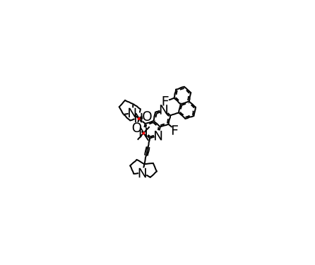 CC(C)(C)OC(=O)N1C2CCC1CN(c1nc(C#CC34CCCN3CCC4)nc3c(F)c(-c4cccc5cccc(F)c45)ncc13)C2